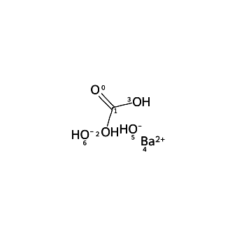 O=C(O)O.[Ba+2].[OH-].[OH-]